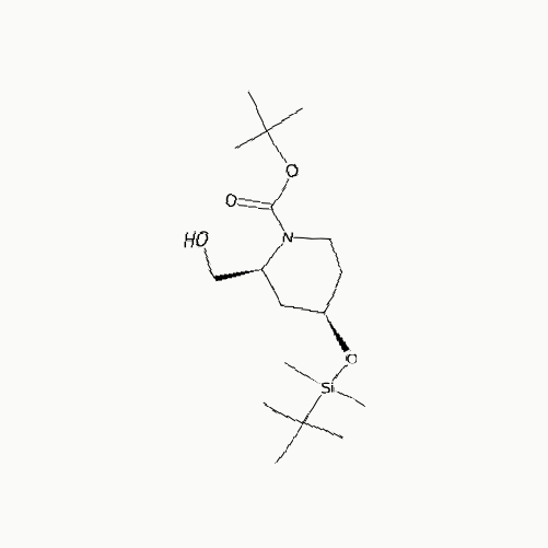 CC(C)(C)OC(=O)N1CC[C@@H](O[Si](C)(C)C(C)(C)C)C[C@H]1CO